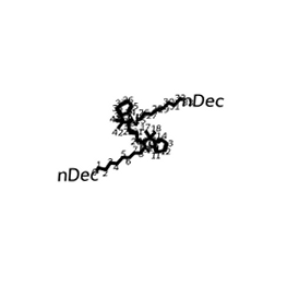 CCCCCCCCCCCCCCCCCCN1c2ccccc2C(C)(C)C1CC=CC1=[N+](CCCCCCCCCCCCCCCCCC)c2ccccc2C1(C)C